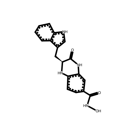 O=C(NO)c1ccc2c(c1)NC(=O)[C@H](Cc1c[nH]c3ccccc13)N2